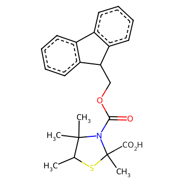 CC1SC(C)(C(=O)O)N(C(=O)OCC2c3ccccc3-c3ccccc32)C1(C)C